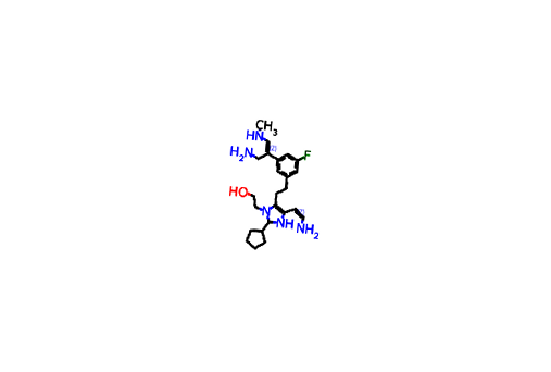 CN/C=C(\CN)c1cc(F)cc(CCC2=C(/C=C\N)NC(C3CCCC3)N2CCO)c1